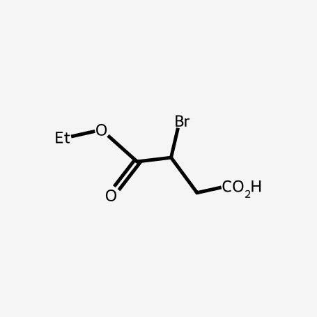 CCOC(=O)C(Br)CC(=O)O